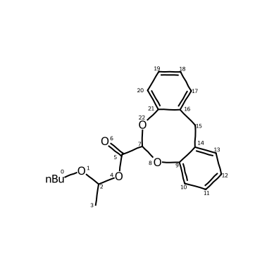 CCCCOC(C)OC(=O)C1Oc2ccccc2Cc2ccccc2O1